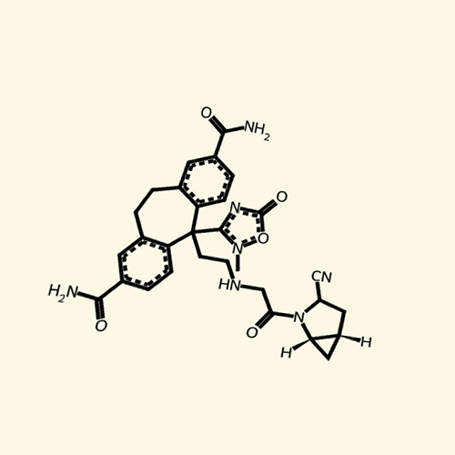 Cn1oc(=O)nc1C1(CCNCC(=O)N2C(C#N)C[C@@H]3C[C@@H]32)c2ccc(C(N)=O)cc2CCc2cc(C(N)=O)ccc21